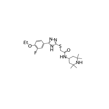 CCOc1ccc(-c2nnc(SCC(=O)NC3CC(C)(C)NC(C)(C)C3)[nH]2)cc1F